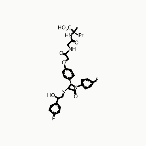 CC(C)[C@@](C)(NC(=O)CNC(=O)COc1ccc([C@@H]2[C@H](SCC(O)c3ccc(F)cc3)C(=O)N2c2ccc(F)cc2)cc1)C(=O)O